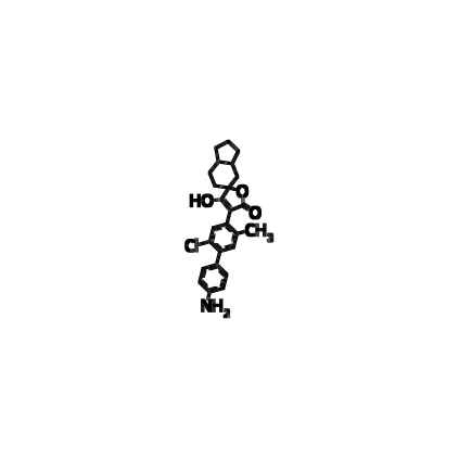 Cc1cc(-c2ccc(N)cc2)c(Cl)cc1C1=C(O)C2(CCC3CCCC3C2)OC1=O